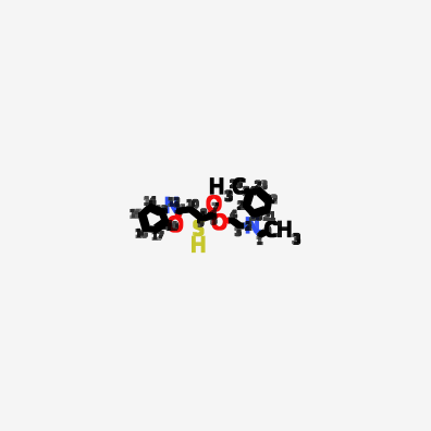 CCN(CCOC(=O)C(S)Cc1nc2ccccc2o1)c1cccc(C)c1